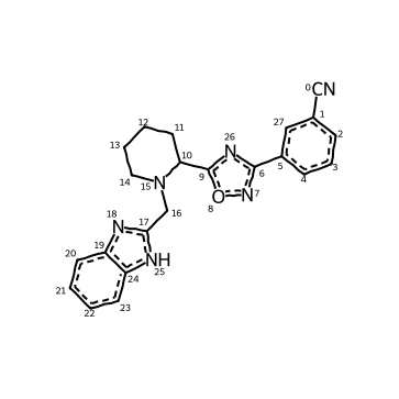 N#Cc1cccc(-c2noc(C3CCCCN3Cc3nc4ccccc4[nH]3)n2)c1